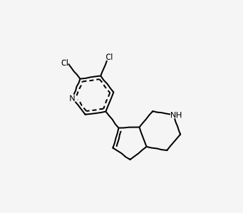 Clc1cc(C2=CCC3CCNCC23)cnc1Cl